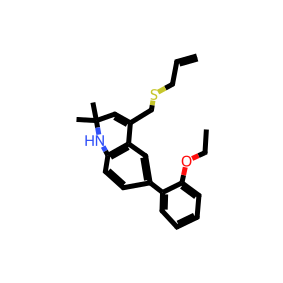 C=CCSCC1=CC(C)(C)Nc2ccc(-c3ccccc3OCC)cc21